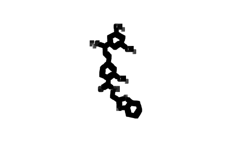 Cc1cc(C)cc(C(/C=C/c2ccc(C(=O)NCc3nc4ccccc4s3)c(C)c2)C(F)(F)F)c1